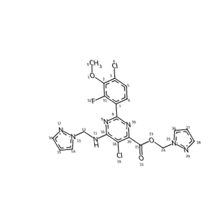 COc1c(Cl)ccc(-c2nc(NCn3cccn3)c(Cl)c(C(=O)OCn3cccn3)n2)c1F